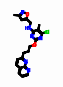 Cc1cc(CNc2nc(OCCCc3ccc4cccnc4n3)nc(Cl)c2C)on1